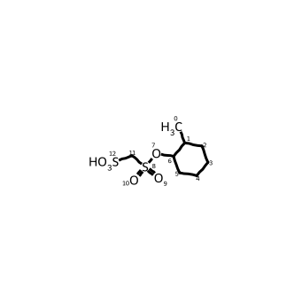 CC1CCCCC1OS(=O)(=O)CS(=O)(=O)O